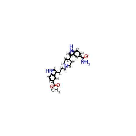 COC(=O)c1ccc2[nH]cc(CCCN3CCC(c4c[nH]c5ccc(C(N)=O)cc45)CC3)c2c1